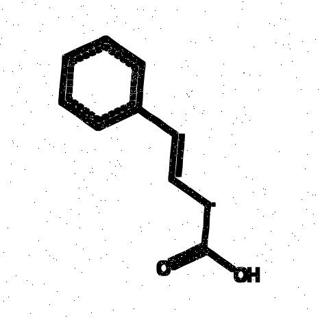 O=C(O)[CH]C=Cc1ccccc1